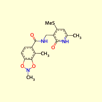 CSc1cc(C)[nH]c(=O)c1CNC(=O)c1ccc2c(c1C)ON(C)O2